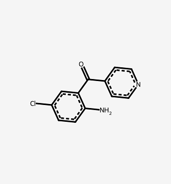 Nc1ccc(Cl)cc1C(=O)c1ccncc1